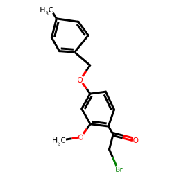 COc1cc(OCc2ccc(C)cc2)ccc1C(=O)CBr